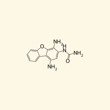 NC(=O)Nc1cc(N)c2c(oc3ccccc32)c1N